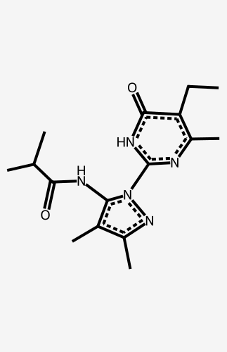 CCc1c(C)nc(-n2nc(C)c(C)c2NC(=O)C(C)C)[nH]c1=O